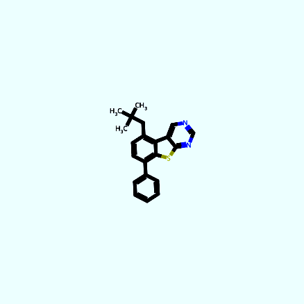 CC(C)(C)Cc1ccc(-c2ccccc2)c2sc3ncncc3c12